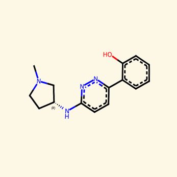 CN1CC[C@@H](Nc2ccc(-c3ccccc3O)nn2)C1